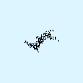 CON=C(C(=O)N[C@@H]1C(=O)N2C(C(=O)O)=C(Cc3cc(NC(=O)CSC(C)=O)ccc3C)CS[C@H]12)c1csc(N)n1